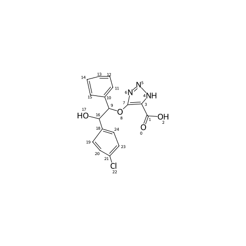 O=C(O)c1[nH]nnc1OC(c1ccccc1)C(O)c1ccc(Cl)cc1